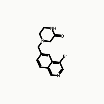 O=C1CN(Cc2ccc3cncc(Br)c3c2)CCN1